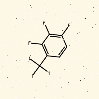 Fc1ccc(C(I)(I)I)c(F)c1F